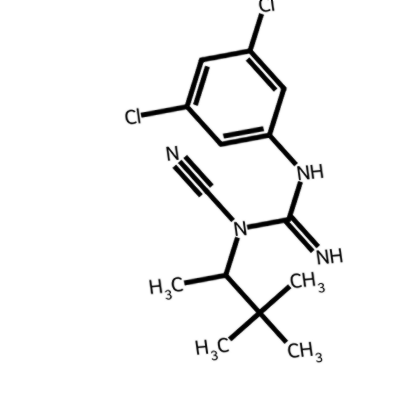 CC(N(C#N)C(=N)Nc1cc(Cl)cc(Cl)c1)C(C)(C)C